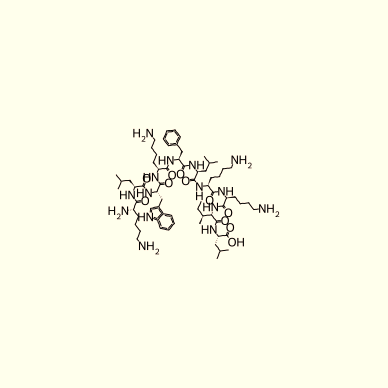 CC[C@H](C)[C@H](NC(=O)[C@H](CCCCN)NC(=O)[C@H](CCCCN)NC(=O)[C@H](CC(C)C)NC(=O)[C@H](Cc1ccccc1)NC(=O)[C@H](CCCCN)NC(=O)[C@H](Cc1c[nH]c2ccccc12)NC(=O)[C@H](CC(C)C)NC(=O)[C@@H](N)CCCCN)C(=O)N[C@@H](CC(C)C)C(=O)O